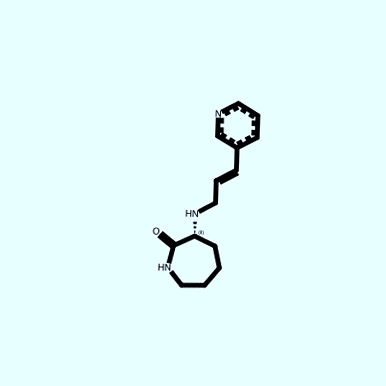 O=C1NCCCC[C@H]1NCC=Cc1cccnc1